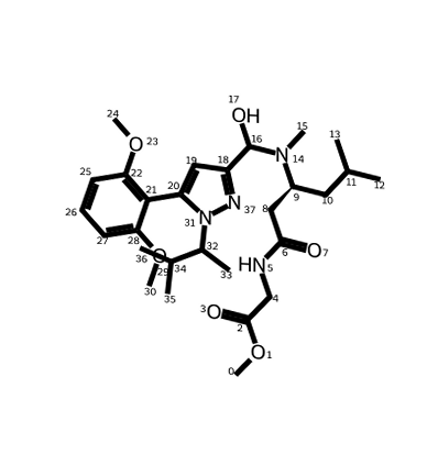 COC(=O)CNC(=O)C[C@H](CC(C)C)N(C)C(O)c1cc(-c2c(OC)cccc2OC)n(C(C)C(C)C)n1